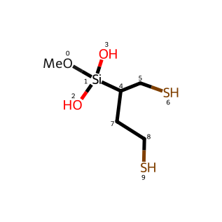 CO[Si](O)(O)C(CS)CCS